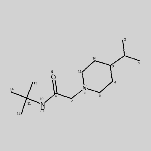 CC(C)C1CCN(CC(=O)NC(C)(C)C)CC1